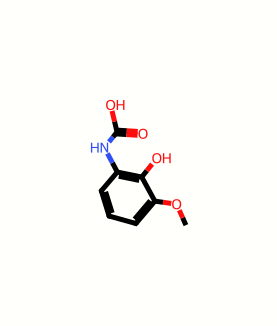 COc1cccc(NC(=O)O)c1O